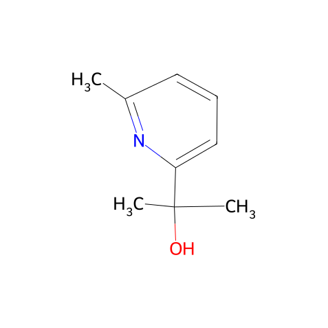 Cc1cccc(C(C)(C)O)n1